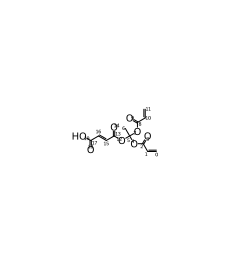 C=CC(=O)OC(C)(OC(=O)C=C)OC(=O)C=CC(=O)O